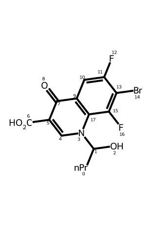 CCCC(O)n1cc(C(=O)O)c(=O)c2cc(F)c(Br)c(F)c21